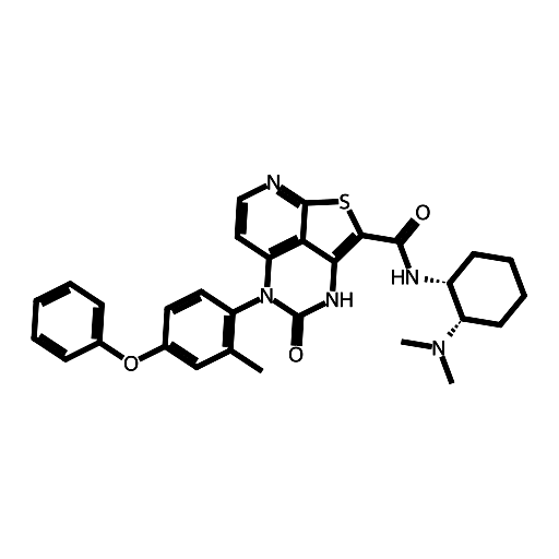 Cc1cc(Oc2ccccc2)ccc1N1C(=O)Nc2c(C(=O)N[C@@H]3CCCC[C@@H]3N(C)C)sc3nccc1c23